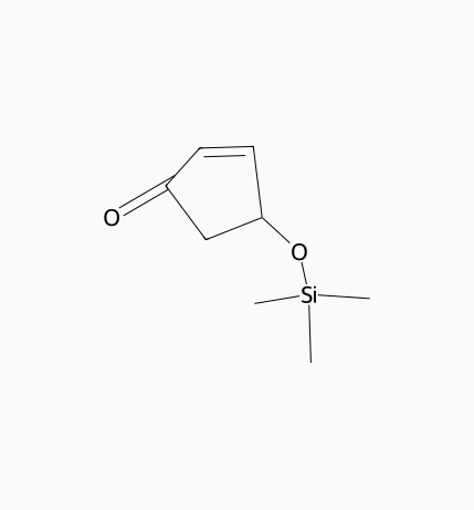 C[Si](C)(C)OC1C=CC(=O)C1